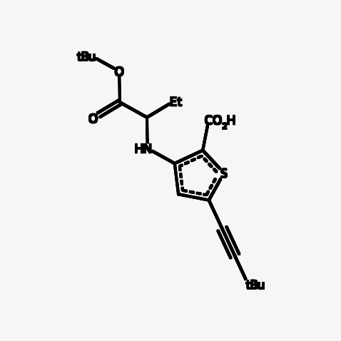 CCC(Nc1cc(C#CC(C)(C)C)sc1C(=O)O)C(=O)OC(C)(C)C